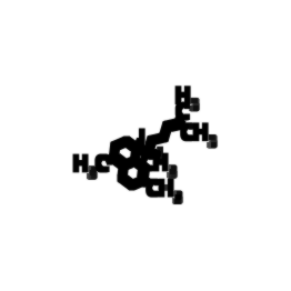 CC(C)=CCC[C@](C)(I)[C@@]1(I)CCC(C)=C2CCC(C)=CC21